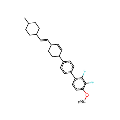 CCCCOc1ccc(-c2ccc(C3C=CC(/C=C/C4CCC(C)CC4)CC3)cc2)c(F)c1F